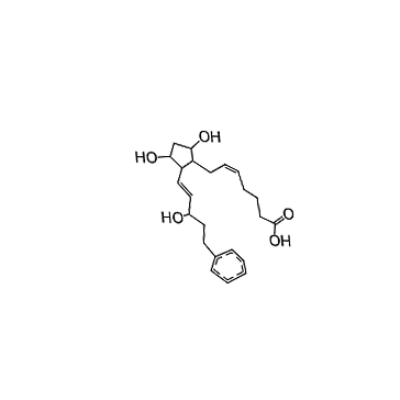 O=C(O)CCC/C=C\CC1C(O)CC(O)C1/C=C/C(O)CCc1ccccc1